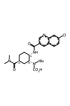 CN(C)C(=O)[C@H]1CC[C@H](NC(=O)c2cnc3cc(Cl)ccc3c2)[C@H](N(C(=O)O)C(C)(C)C)C1